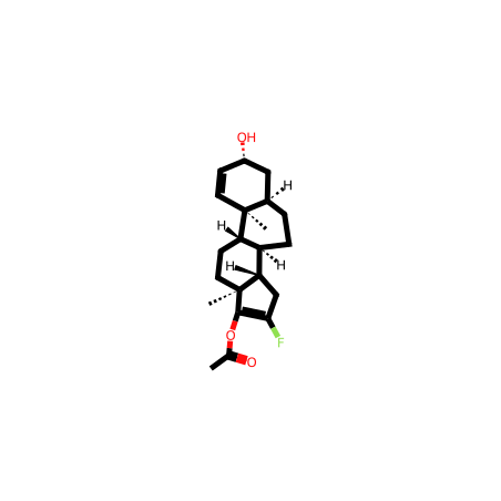 CC(=O)OC1=C(F)C[C@H]2[C@@H]3CC[C@@H]4C[C@@H](O)C=C[C@]4(C)[C@H]3CC[C@]12C